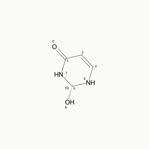 O=C1C=CN[C@H](O)N1